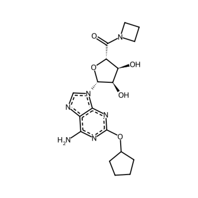 Nc1nc(OC2CCCC2)nc2c1ncn2[C@@H]1O[C@H](C(=O)N2CCC2)[C@@H](O)[C@H]1O